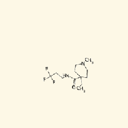 CCC1(C(=O)NCCC(F)(F)F)CCN(C)CC1